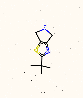 CC(C)(C)c1nc2c(s1)CNC2